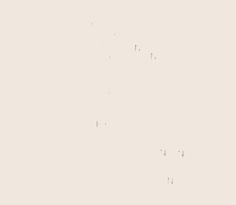 Cc1nn(C)c(OS(=O)(=O)c2ccccc2)c1C(=O)c1ccc(-n2cncn2)cc1C(F)(F)F